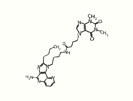 CCCCc1nc2c(N)nc3cccnc3c2n1CCCCNC(=O)CCCn1cnc2c1c(=O)n(C)c(=O)n2C